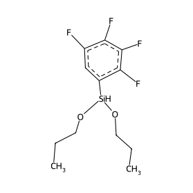 CCCO[SiH](OCCC)c1cc(F)c(F)c(F)c1F